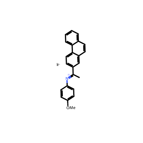 COc1ccc(/N=C(\C)c2ccc3c(ccc4ccccc43)c2)cc1.[Ir]